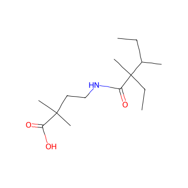 CCC(C)C(C)(CC)C(=O)NCCC(C)(C)C(=O)O